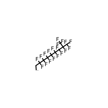 [CH2]CC(F)(F)C(F)(F)C(F)(F)C(F)(F)C(F)(F)C(F)(F)C(F)(C(F)(F)F)C(F)(F)F